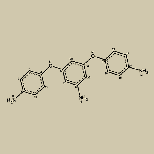 Nc1ccc(Oc2cc(N)cc(Oc3ccc(N)cc3)c2)cc1